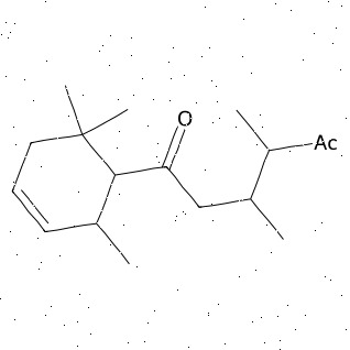 CC(=O)C(C)C(C)CC(=O)C1C(C)C=CCC1(C)C